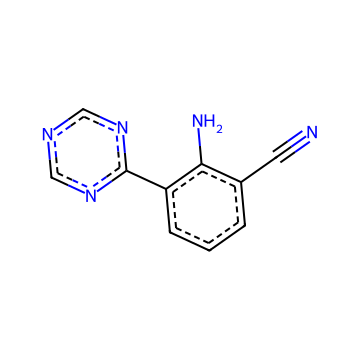 N#Cc1cccc(-c2ncncn2)c1N